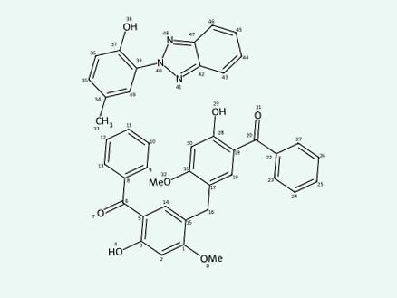 COc1cc(O)c(C(=O)c2ccccc2)cc1Cc1cc(C(=O)c2ccccc2)c(O)cc1OC.Cc1ccc(O)c(-n2nc3ccccc3n2)c1